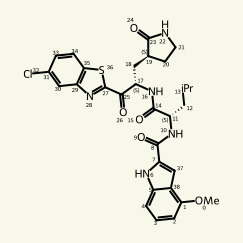 COc1cccc2[nH]c(C(=O)N[C@@H](CC(C)C)C(=O)N[C@@H](C[C@@H]3CCNC3=O)C(=O)c3nc4cc(Cl)ccc4s3)cc12